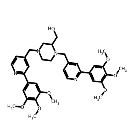 COc1cc(-c2cc(CN3CCN(Cc4ccnc(-c5cc(OC)c(OC)c(OC)c5)c4)C(CO)C3)ccn2)cc(OC)c1OC